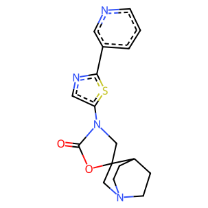 O=C1OC2(CN3CCC2CC3)CN1c1cnc(-c2cccnc2)s1